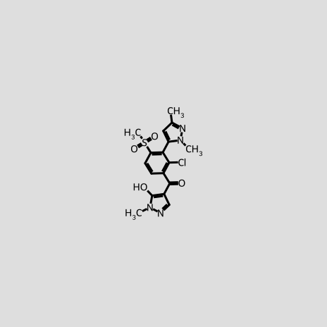 Cc1cc(-c2c(S(C)(=O)=O)ccc(C(=O)c3cnn(C)c3O)c2Cl)n(C)n1